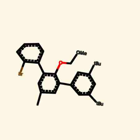 COCOc1c(-c2cc(C(C)(C)C)cc(C(C)(C)C)c2)cc(C)cc1-c1ccccc1Br